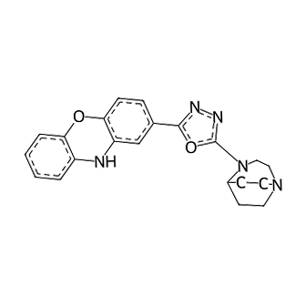 c1ccc2c(c1)Nc1cc(-c3nnc(N4CCN5CCC4CC5)o3)ccc1O2